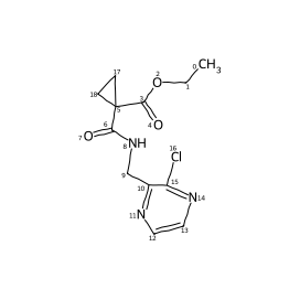 CCOC(=O)C1(C(=O)NCc2nccnc2Cl)CC1